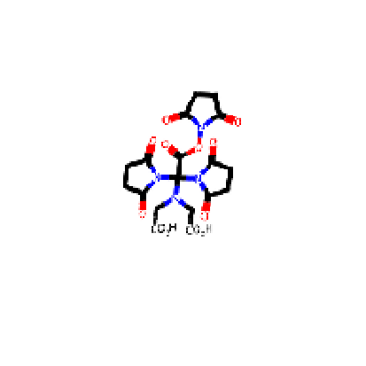 O=C(O)CN(CC(=O)O)C(C(=O)ON1C(=O)CCC1=O)(N1C(=O)CCC1=O)N1C(=O)CCC1=O